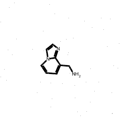 NCc1cccn2ccnc12